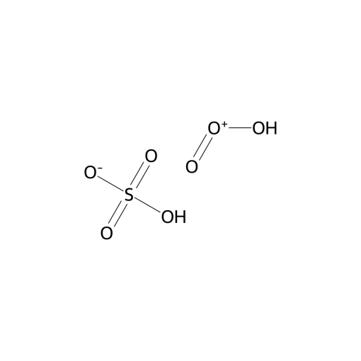 O=S(=O)([O-])O.O=[O+]O